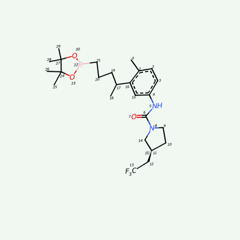 Cc1ccc(NC(=O)N2CC[C@@H](CC(F)(F)F)C2)cc1C(C)CCCB1OC(C)(C)C(C)(C)O1